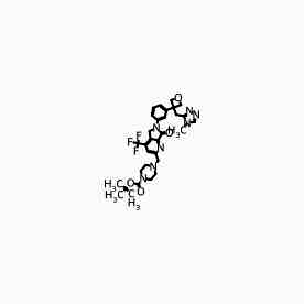 Cn1cnnc1CC1(c2cccc(N3Cc4c(C(F)(F)F)cc(CN5CCN(C(=O)OC(C)(C)C)CC5)nc4C3=O)c2)COC1